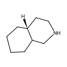 C1CC[C@@H]2CCNCC2C1